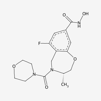 C[C@H]1COc2cc(C(=O)NO)cc(F)c2CN1C(=O)N1CCOCC1